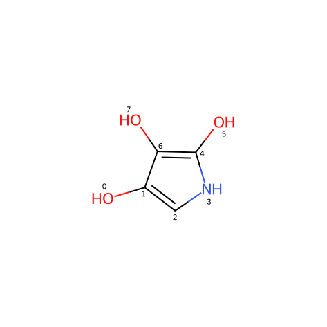 Oc1c[nH]c(O)c1O